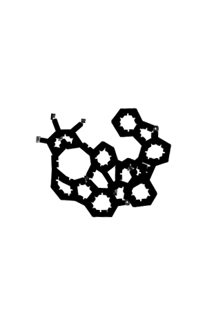 N#Cc1c(-n2c3ccccc3c3ccc4oc5ccccc5c4c32)ccc2c3c(F)c(F)c(F)c(c3F)c3ccc4c5ccc6oc7ccccc7c6c5n(c4c3)c12